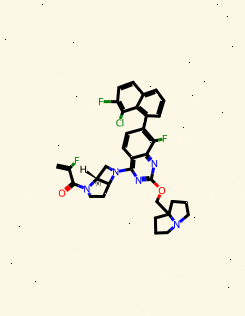 C=C(F)C(=O)N1CCC2[C@H]1CN2c1nc(OCC23CCCN2CCC3)nc2c(F)c(-c3cccc4ccc(F)c(Cl)c34)ccc12